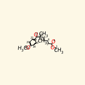 CCOC(=O)CCCCC(C)(C)C(=O)c1ccc(OC)cc1